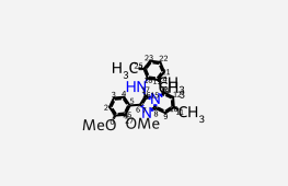 COc1cccc(-c2nc3cc(C)cc(C)n3c2Nc2c(C)cccc2C)c1OC